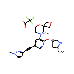 C[C@@H]1N(c2cc(C#Cc3ccn(C)n3)cnc2O[C@@H]2CN[C@H](C(=O)O)C2)CCOC12COC2.O=C(O)C(F)(F)F